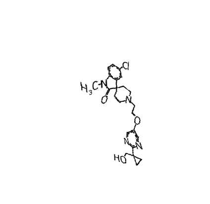 CN1C(=O)C2(CCN(CCOc3cnc(C4(CO)CC4)nc3)CC2)c2cc(Cl)ccc21